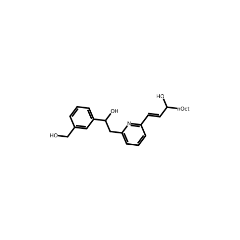 CCCCCCCCC(O)C=Cc1cccc(CC(O)c2cccc(CO)c2)n1